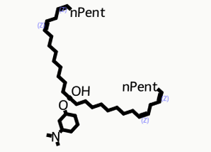 CCCCC/C=C\C/C=C\CCCCCCCCC(O)(CCCCCCCC/C=C\C/C=C\CCCCC)OC1CCCC(N(C)C)C1